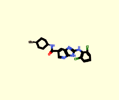 CC(C)(C)[C@H]1CC[C@H](NC(=O)c2cnc3[nH]c(Nc4c(Cl)cccc4Cl)nc3c2)CC1